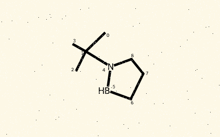 CC(C)(C)N1BCCC1